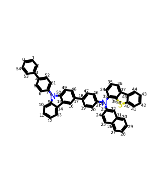 c1ccc(-c2ccc(-n3c4ccccc4c4cc(-c5ccc(N(c6ccc7ccccc7c6)c6cccc7c6sc6ccccc67)cc5)ccc43)cc2)cc1